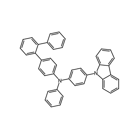 c1ccc(-c2ccccc2-c2ccc(N(c3ccccc3)c3ccc(-n4c5ccccc5c5ccccc54)cc3)cc2)cc1